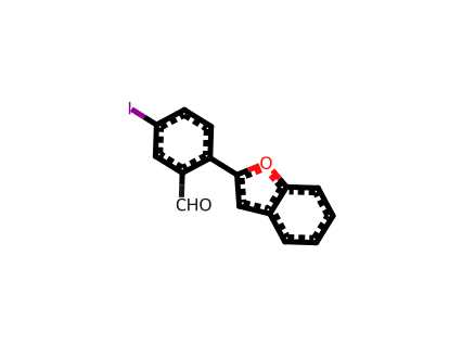 O=Cc1cc(I)ccc1-c1cc2ccccc2o1